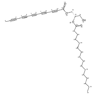 CC#CC#CC#CC#CC#CC(=O)OC[C@H](CO)OC(=O)CCCCCCCCCCCCCCC